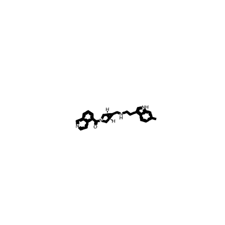 Cc1ccc2c(CCNCC3[C@H]4CN(C(=O)c5cccc6cnccc56)C[C@@H]34)c[nH]c2c1